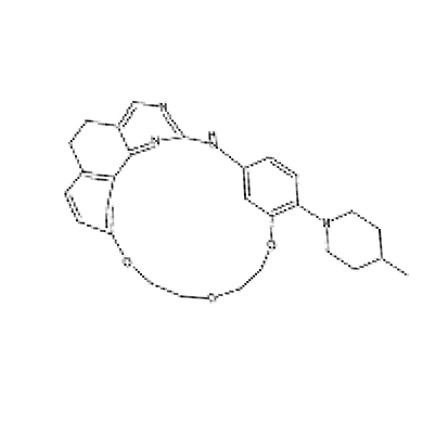 CC1CCN(c2ccc3cc2OCCOCCOc2ccc4c(c2)-c2nc(ncc2CC4)N3)CC1